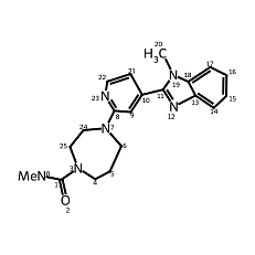 CNC(=O)N1CCCN(c2cc(-c3nc4ccccc4n3C)ccn2)CC1